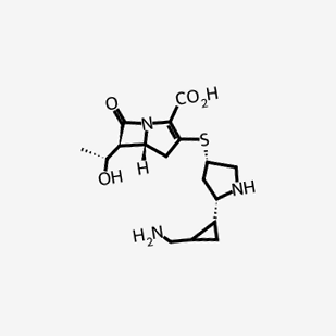 C[C@@H](O)[C@H]1C(=O)N2C(C(=O)O)=C(S[C@@H]3CN[C@H](C4CC4CN)C3)C[C@H]12